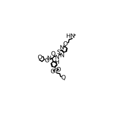 CNCCCOc1ccc2nc(NC(=O)/C(=N/O[C@@H]3CCOC3)c3ccc(S(=O)(=O)CCCOC)cc3)sc2n1